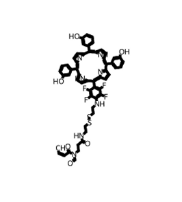 C/C=C\C(=O)N(C=O)CCC(=O)NCCSSCCNc1c(F)c(F)c(-c2c3nc(c(-c4cccc(O)c4)c4ccc([nH]4)c(-c4cccc(O)c4)c4nc(c(-c5cccc(O)c5)c5ccc2[nH]5)C=C4)C=C3)c(F)c1F